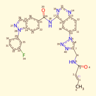 C/C=C/C(=O)NCc1cn(-c2ccc3ncnc(NC(=O)c4ccc5c(cnn5-c5cccc(F)c5)c4)c3c2)nn1